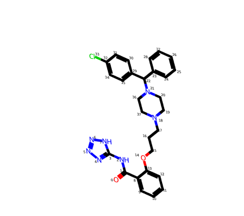 O=C(Nc1nnn[nH]1)c1ccccc1OCCCN1CCN(C(c2ccccc2)c2ccc(Cl)cc2)CC1